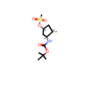 C[C@H]1C[C@H](OS(C)(=O)=O)C[C@@H]1NC(=O)OC(C)(C)C